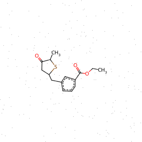 CCOC(=O)c1cccc(CC2CC(=O)C(C)S2)c1